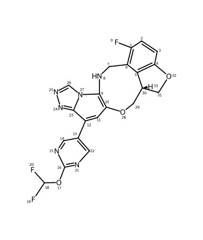 Fc1ccc2c3c1CNc1c(cc(-c4cnc(OC(F)F)nc4)c4nncn14)OC[C@H]3CO2